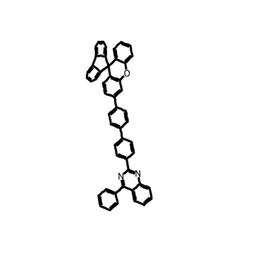 c1ccc(-c2nc(-c3ccc(-c4ccc(-c5ccc6c(c5)Oc5ccccc5C65c6ccccc6-c6ccccc65)cc4)cc3)nc3ccccc23)cc1